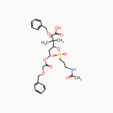 CC(=O)NCCCS(=O)(=O)OC(CCOC(=O)COCc1ccccc1)C(C)(C)[C@@H](OCc1ccccc1)C(=O)O